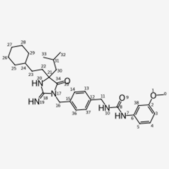 COc1cccc(NC(=O)NCc2ccc(CN3C(=N)NC(CCC4CCCCC4)(CC(C)C)C3=O)cc2)c1